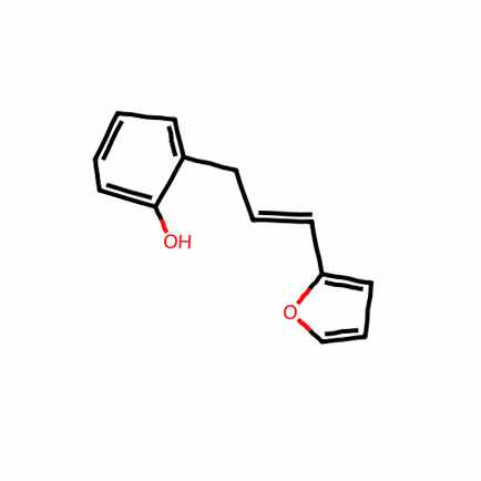 Oc1ccccc1CC=Cc1ccco1